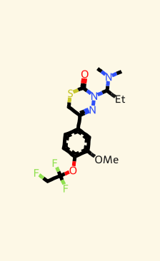 CCC(N(C)C)N1N=C(c2ccc(OC(F)(F)CF)c(OC)c2)CSC1=O